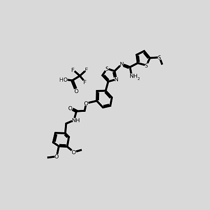 COc1ccc(CNC(=O)COc2cccc(-c3csc(N=C(N)c4ccc(SC)s4)n3)c2)cc1OC.O=C(O)C(F)(F)F